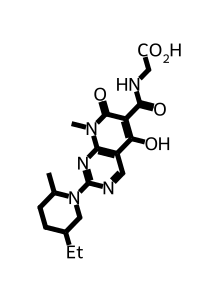 CCC1CCC(C)N(c2ncc3c(O)c(C(=O)NCC(=O)O)c(=O)n(C)c3n2)C1